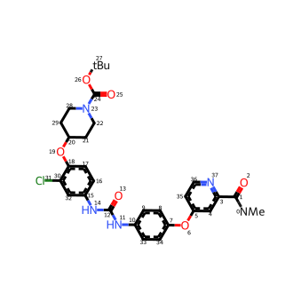 CNC(=O)c1cc(Oc2ccc(NC(=O)Nc3ccc(OC4CCN(C(=O)OC(C)(C)C)CC4)c(Cl)c3)cc2)ccn1